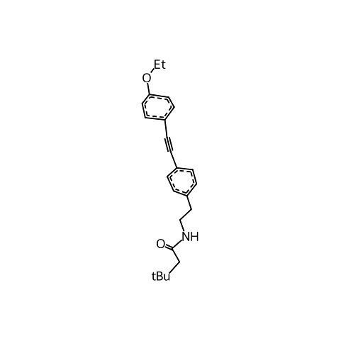 CCOc1ccc(C#Cc2ccc(CCNC(=O)CC(C)(C)C)cc2)cc1